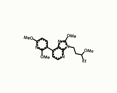 CCC(CCn1c(OC)nc2c(-c3ccc(OC)nc3OC)ccnc21)OC